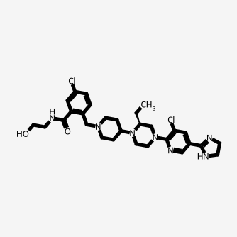 CC[C@H]1CN(c2ncc(C3=NCCN3)cc2Cl)CCN1C1CCN(Cc2ccc(Cl)cc2C(=O)NCCO)CC1